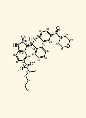 CCCCN(C)S(=O)(=O)c1ccc2c(c1)/C(=C(/Nc1ccc(C(=O)N3CCOCC3)cc1)c1ccccc1)C(=O)N2